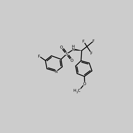 COc1ccc([C@@H](NS(=O)(=O)c2cncc(F)c2)C(F)(F)F)cc1